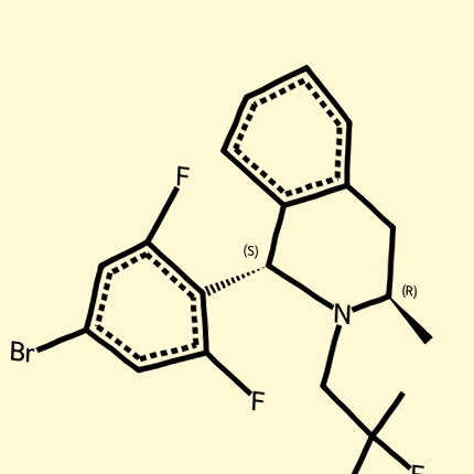 C[C@@H]1Cc2ccccc2[C@@H](c2c(F)cc(Br)cc2F)N1CC(C)(C)F